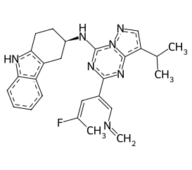 C=N/C=C(\C=C(/C)F)c1nc(N[C@@H]2CCc3[nH]c4ccccc4c3C2)n2ncc(C(C)C)c2n1